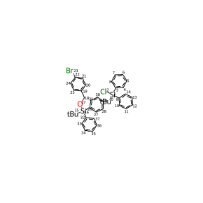 CC(C)(C)[Si](Cl)(c1ccccc1)c1ccccc1.CC(C)(C)[Si](OCc1ccc(Br)cc1)(c1ccccc1)c1ccccc1